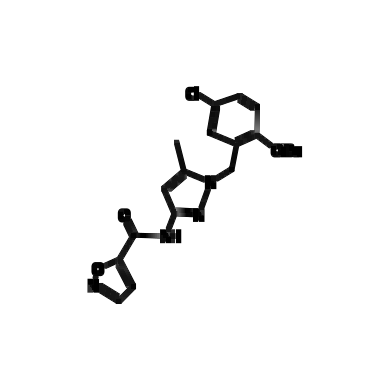 Cc1cc(NC(=O)c2ccno2)nn1Cc1cc(Cl)ccc1OCC(C)C